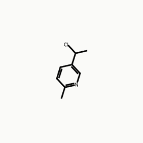 Cc1ccc(C(C)Cl)cn1